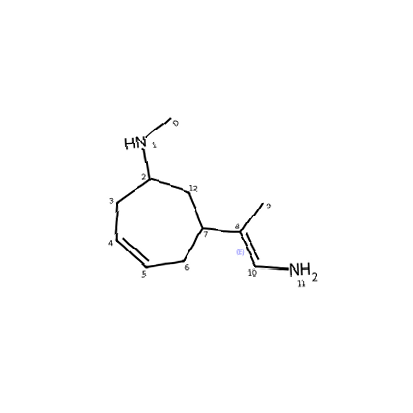 CNC1CC=CCC(/C(C)=C/N)C1